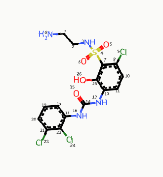 NCCNS(=O)(=O)c1c(Cl)ccc(NC(=O)Nc2cccc(Cl)c2Cl)c1O